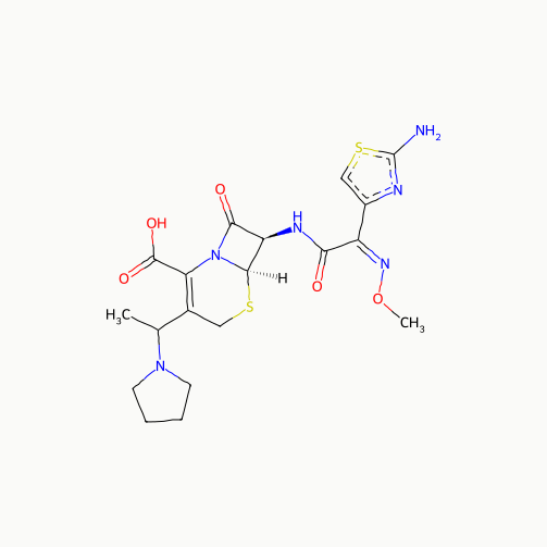 CO/N=C(\C(=O)N[C@@H]1C(=O)N2C(C(=O)O)=C(C(C)N3CCCC3)CS[C@H]12)c1csc(N)n1